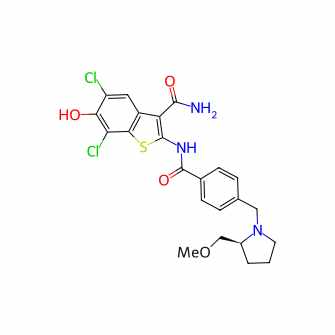 COC[C@@H]1CCCN1Cc1ccc(C(=O)Nc2sc3c(Cl)c(O)c(Cl)cc3c2C(N)=O)cc1